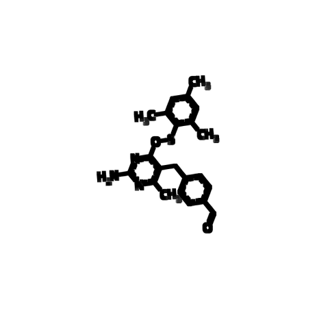 Cc1cc(C)c(SOc2nc(N)nc(C)c2Cc2ccc(C=O)cc2)c(C)c1